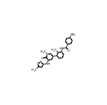 Cc1cc(Nc2cc(-c3cccc(NC(=O)c4ccc(C(C)(C)C)cc4)c3C)cn(C)c2=O)ns1